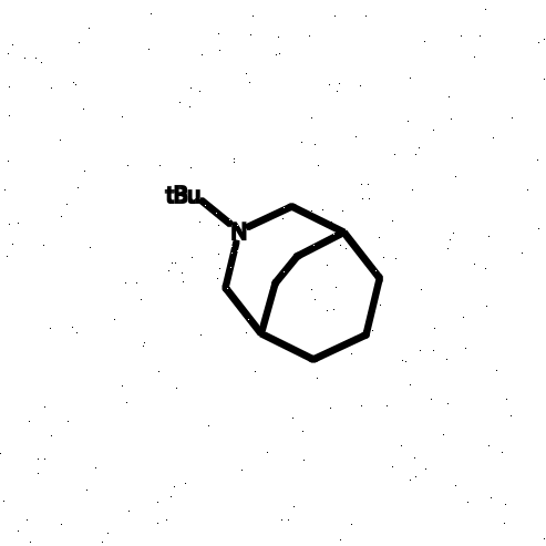 CC(C)(C)N1CC2CCCC(CC2)C1